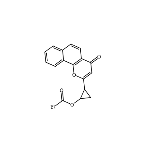 CCC(=O)OC1CC1c1cc(=O)c2ccc3ccccc3c2o1